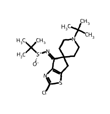 CC(C)(C)N1CCC2(CC1)Cc1sc(Cl)nc1/C2=N\[S@+]([O-])C(C)(C)C